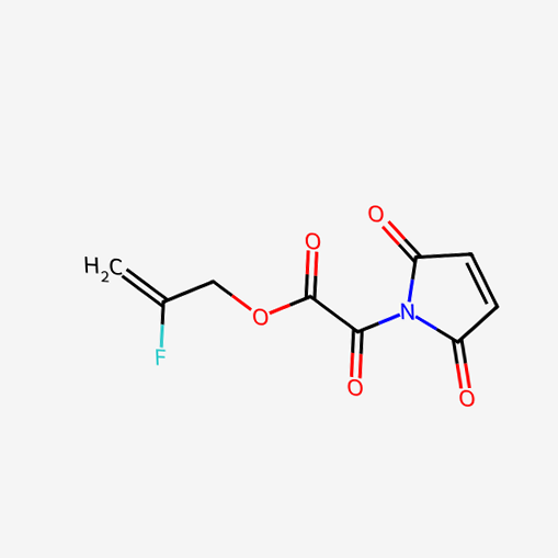 C=C(F)COC(=O)C(=O)N1C(=O)C=CC1=O